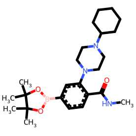 CNC(=O)c1ccc(B2OC(C)(C)C(C)(C)O2)cc1N1CCN(C2CCCCC2)CC1